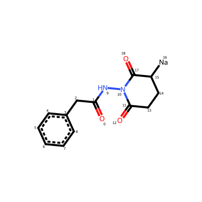 O=C(Cc1ccccc1)NN1C(=O)CC[CH]([Na])C1=O